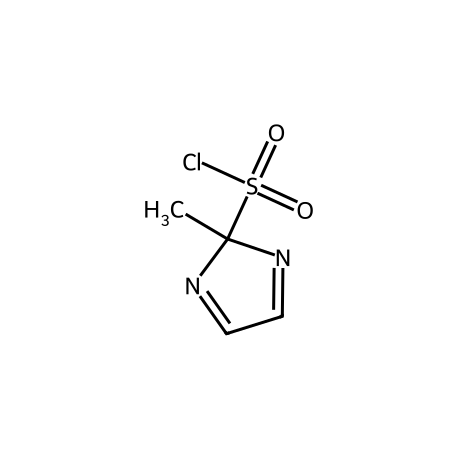 CC1(S(=O)(=O)Cl)N=CC=N1